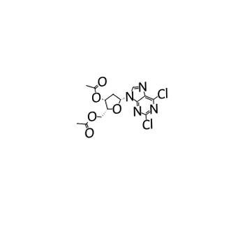 CC(=O)OC[C@H]1O[C@@H](n2cnc3c(Cl)nc(Cl)nc32)C[C@H]1OC(C)=O